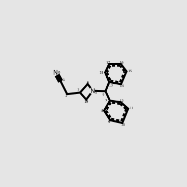 N#CCC1CN(C(c2ccccc2)c2ccccc2)C1